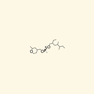 CCC(COSP(C)OCC1CCOC(C)C1)CC(C)C(C)CC